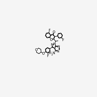 CC(c1oc2cccc(F)c2c(=O)c1-c1cccc(F)c1)n1nc(-c2ccc(OC3CCOCC3)c(F)c2)c2c(N)ncnc21